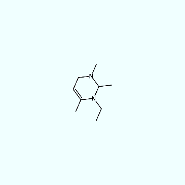 CCN1C(C)=CCN(C)C1C